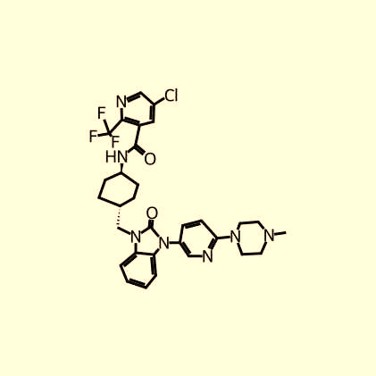 CN1CCN(c2ccc(-n3c(=O)n(C[C@H]4CC[C@H](NC(=O)c5cc(Cl)cnc5C(F)(F)F)CC4)c4ccccc43)cn2)CC1